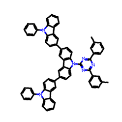 Cc1cccc(-c2nc(-c3cccc(C)c3)nc(-n3c4ccc(-c5ccc6c(c5)c5ccccc5n6-c5ccccc5)cc4c4cc(-c5ccc6c(c5)c5ccccc5n6-c5ccccc5)ccc43)n2)c1